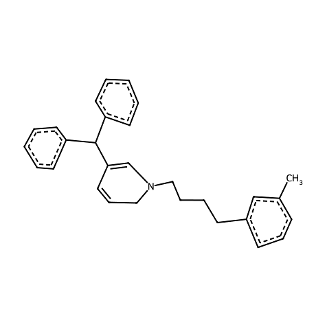 Cc1cccc(CCCCN2C=C(C(c3ccccc3)c3ccccc3)C=CC2)c1